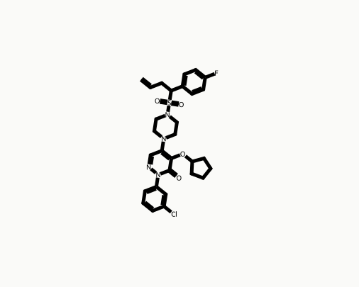 C=CCC(c1ccc(F)cc1)S(=O)(=O)N1CCN(c2cnn(-c3cccc(Cl)c3)c(=O)c2OC2CCCC2)CC1